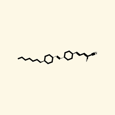 CCCCCCC[C@H]1CC[C@H](C=C[C@H]2CC[C@H](C=CC=C(F)C#N)CC2)CC1